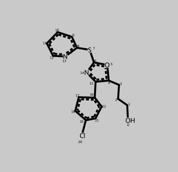 OCCCc1oc(Sc2ccccn2)nc1-c1ccc(Cl)cc1